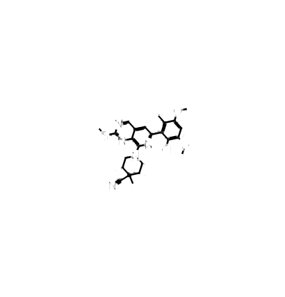 COc1cc(OC)c(Cl)c(-c2cc3cnc(SC)nc3c(N3CCC(C)(C#N)CC3)n2)c1C